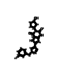 O=c1[nH]c2nc(-c3cnn(Cc4cccc(F)c4)c3)[nH]c2c(=O)n1C1CCC(O)C1